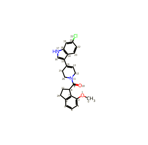 COc1cccc2c1C(C(=O)N1CC=C(c3c[nH]c4cc(Cl)ccc34)CC1)CC2